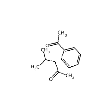 CC(=O)CC(C)C.CC(=O)c1ccccc1